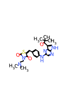 CN(C)CCN1C(=O)S/C(=C/c2ccc(Nc3cnc4[nH]cc(C(=O)C(C)(C)C)c4n3)cc2)C1=O